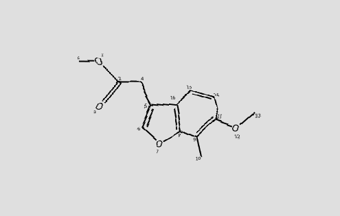 COC(=O)Cc1coc2c(C)c(OC)ccc12